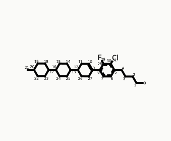 CCCCCc1ccc(C2=CCC(C3CCC(C4CCC(C)CC4)CC3)CC2)c(F)c1Cl